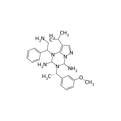 COc1cccc([C@H](C)N2C(N)N(C(CN)c3ccccc3)c3c(C(C)C)cnn3C2N)c1